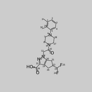 Cc1cccc(N2CCN(C(=O)Cn3nc(C(=O)O)c4c3CC(C(F)F)C4)CC2)c1C